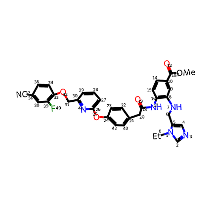 CCn1cncc1CNc1cc(C(=O)OC)ccc1NC(=O)Cc1ccc(Oc2cccc(COc3ccc(C#N)cc3F)n2)cc1